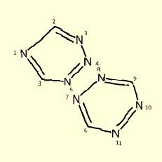 c1ncnnn1.c1nncnn1